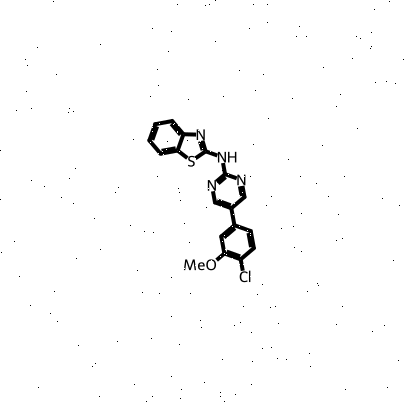 COc1cc(-c2cnc(Nc3nc4ccccc4s3)nc2)ccc1Cl